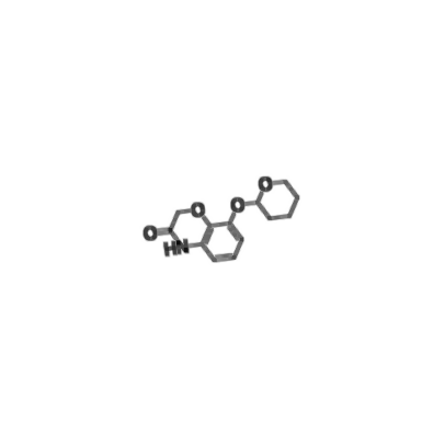 O=C1COc2c(cccc2OC2CCCCO2)N1